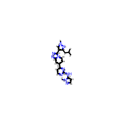 CC(C)Cc1nn(C)cc1-c1nnc2cc(-c3ccnc(Nc4ccnn4C)n3)ccn12